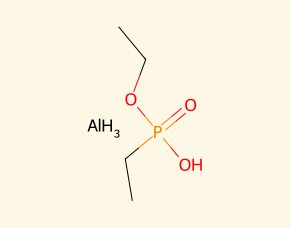 CCOP(=O)(O)CC.[AlH3]